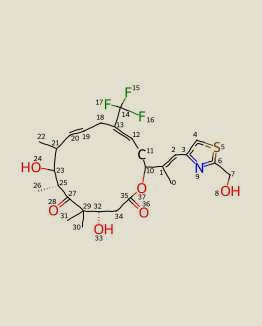 C/C(=C\c1csc(CO)n1)C1C/C=C(/C(F)(F)F)C/C=C/C(C)C(O)[C@@H](C)C(=O)C(C)(C)[C@@H](O)CC(=O)O1